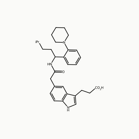 CC(C)CCC(NC(=O)Cc1ccc2[nH]cc(CCC(=O)O)c2c1)c1ccccc1N1CCCCC1